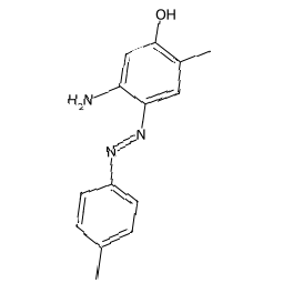 Cc1ccc(/N=N/c2cc(C)c(O)cc2N)cc1